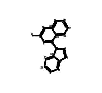 Cc1cc(C2C=Cc3ccccc32)c2ccccc2c1